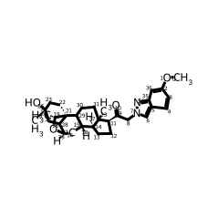 COc1ccc2cn(CC(=O)[C@H]3CC[C@H]4[C@@H]5C[C@H]6O[C@H](C)[C@@]7(CC[C@@](C)(O)CC67)C5CC[C@]34C)nc2c1